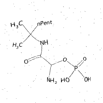 CCCCCC(C)(C)NC(=O)C(N)OP(=O)(O)O